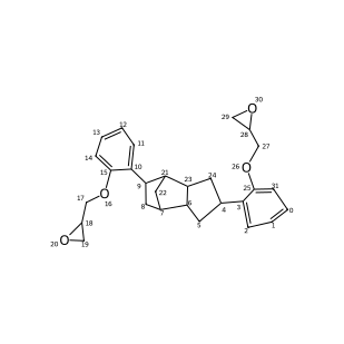 c1ccc(C2CC3C4CC(c5ccccc5OCC5CO5)C(C4)C3C2)c(OCC2CO2)c1